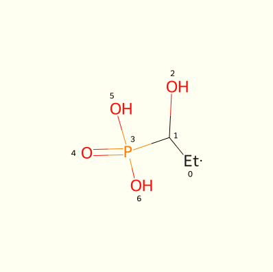 C[CH]C(O)P(=O)(O)O